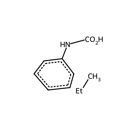 CCC.O=C(O)Nc1ccccc1